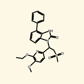 CCOc1nc(C(CS(C)(=O)=O)n2c(=O)[nH]c3c(-c4ccccc4)cccc32)ccc1OC